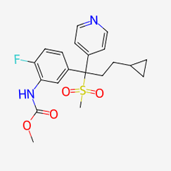 COC(=O)Nc1cc(C(CCC2CC2)(c2ccncc2)S(C)(=O)=O)ccc1F